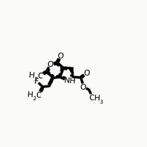 C=C(F)/C=c1\c(=C)oc(=O)c2cc(C(=O)OCC)[nH]c12